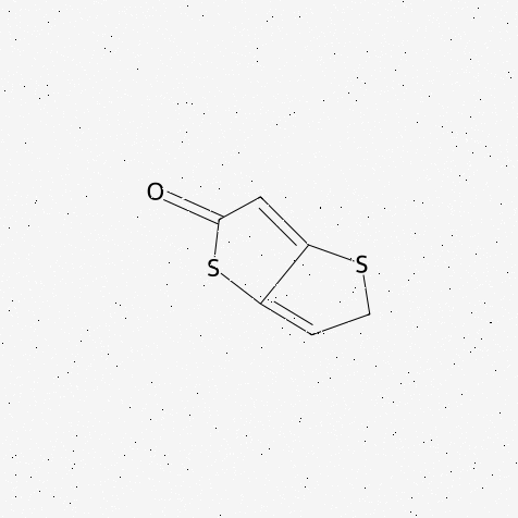 O=C1C=C2SCC=C2S1